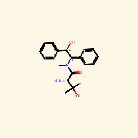 CN(C(=O)[C@@H](N)C(C)(C)O)[C@H](c1ccccc1)[C@H](O)c1ccccc1